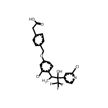 CC(c1ccc(OCc2ccc(CC(=O)O)cc2)cc1Cl)C(O)(c1ccnc(Cl)c1)C(F)(F)F